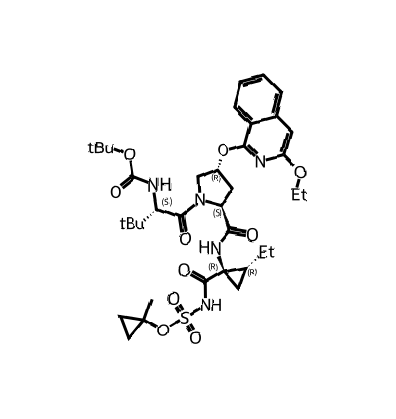 CCOc1cc2ccccc2c(O[C@@H]2C[C@@H](C(=O)N[C@]3(C(=O)NS(=O)(=O)OC4(C)CC4)C[C@H]3CC)N(C(=O)[C@@H](NC(=O)OC(C)(C)C)C(C)(C)C)C2)n1